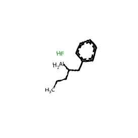 CCC[CH]([AlH2])Cc1ccccc1.F